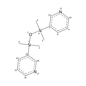 C[Si](C)(O[Si](C)(C)c1cccnc1)c1cccnc1